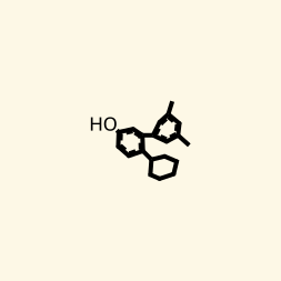 Cc1cc(C)cc(-c2cc(O)ccc2C2CCCCC2)c1